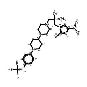 C[C@](O)(CN1CCN(C2CCN(c3ccc(OC(F)(F)F)cc3)CC2)CC1)Cn1cc([N+](=O)[O-])nc1Br